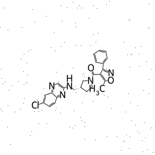 Cc1onc(-c2ccccc2)c1C(=O)N1CC[C@H](CNc2cnc3cc(Cl)ccc3n2)C1